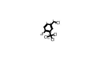 Fc1ccc(CCl)cc1C(Cl)(Cl)Cl